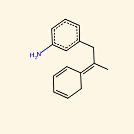 CC(Cc1cccc(N)c1)=C1C=CC=CC1